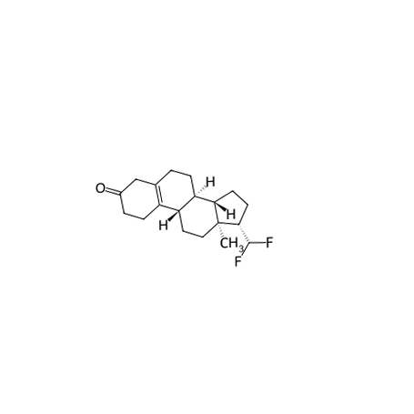 C[C@]12CC[C@@H]3C4=C(CC[C@H]3[C@@H]1CC[C@@H]2C(F)F)CC(=O)CC4